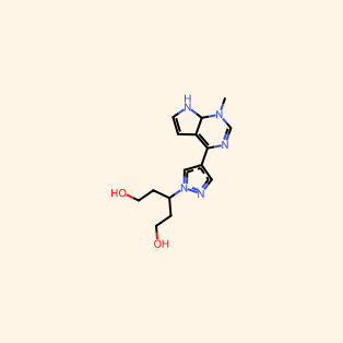 CN1C=NC(c2cnn(C(CCO)CCO)c2)=C2C=CNC21